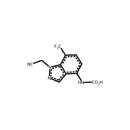 N#CCn1ncc2c(NC(=O)O)ccc(C(F)(F)F)c21